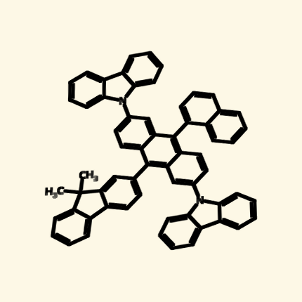 CC1(C)c2ccccc2-c2ccc(-c3c4cc(-n5c6ccccc6c6ccccc65)ccc4c(-c4cccc5ccccc45)c4cc(-n5c6ccccc6c6ccccc65)ccc34)cc21